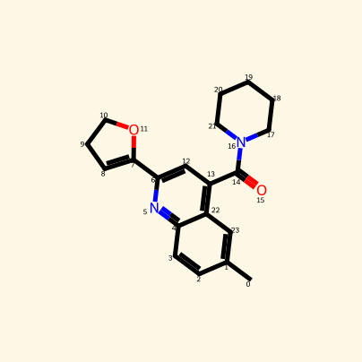 Cc1ccc2nc(C3=CCCO3)cc(C(=O)N3CCCCC3)c2c1